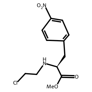 COC(=O)[C@H](Cc1ccc([N+](=O)[O-])cc1)NCCCl